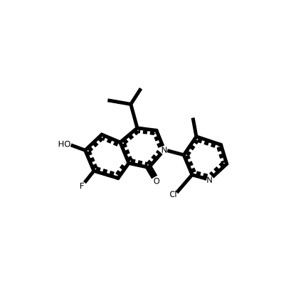 Cc1ccnc(Cl)c1-n1cc(C(C)C)c2cc(O)c(F)cc2c1=O